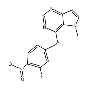 Cn1ccc2ncnc(Oc3ccc([N+](=O)[O-])c(F)c3)c21